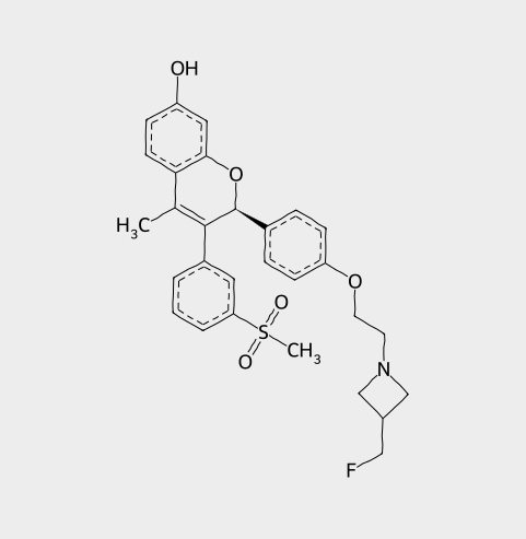 CC1=C(c2cccc(S(C)(=O)=O)c2)[C@H](c2ccc(OCCN3CC(CF)C3)cc2)Oc2cc(O)ccc21